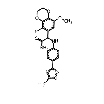 COc1cc(C(Nc2ccc(-c3noc(C)n3)cc2)C(N)=S)c(F)c2c1OCCO2